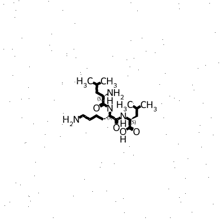 CC(C)C[C@H](NC(=O)[C@H](CCCCN)NC(=O)[C@@H](N)CC(C)C)C(=O)O